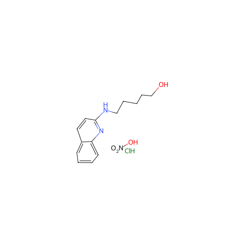 Cl.O=[N+]([O-])O.OCCCCCNc1ccc2ccccc2n1